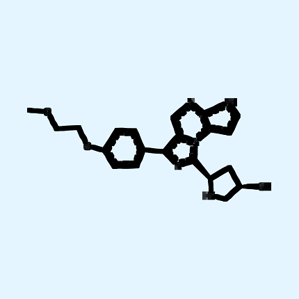 COCCOc1ccc(-c2nc([C@H]3C[C@@H](O)CN3)n3c2cnc2[nH]ccc23)cc1